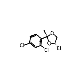 CC[C@H]1CO[C@@](C)(c2ccc(Cl)cc2Cl)O1